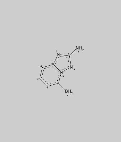 Bc1cccc2nc(N)nn12